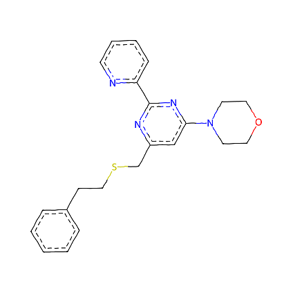 c1ccc(CCSCc2cc(N3CCOCC3)nc(-c3ccccn3)n2)cc1